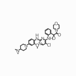 COc1cc(N2CCC(N(C)C)CC2)ccc1Nc1ncc(Cl)c(Nc2ccccc2C(=O)C(=O)N2CCOCC2)n1